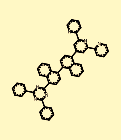 c1ccc(-c2nc(-c3ccccc3)nc(-c3ccc(-c4ccc(-c5cc(-c6ccccn6)nc(-c6ccccn6)c5)c5ccccc45)c4ccccc34)n2)cc1